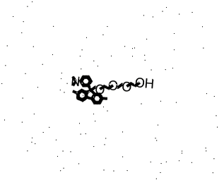 Cc1ccc2c(c1)C(COCCOCCOCCO)(c1cccc(N(C)C)c1)c1cc(C)ccc1-2